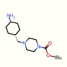 CC(C)(C)OC(=O)N1CCN(C[C@H]2CC[C@H](N)CC2)CC1